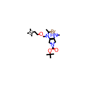 CNC1=C(N(COCC[Si](C)(C)C)C(C)Br)CN(C(=O)OC(C)(C)C)C1